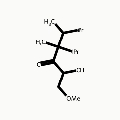 COCC(O)C(=O)C(C)(C(C)C)C(C)C(C)C